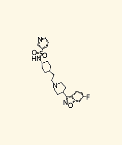 O=S(=O)(N[C@H]1CC[C@H](CCN2CCC(c3noc4cc(F)ccc34)CC2)CC1)c1cccnc1